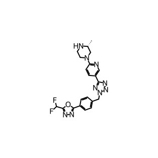 C[C@@H]1CN(c2ccc(-c3nnn(Cc4ccc(-c5nnc(C(F)F)o5)cc4)n3)cn2)CCN1